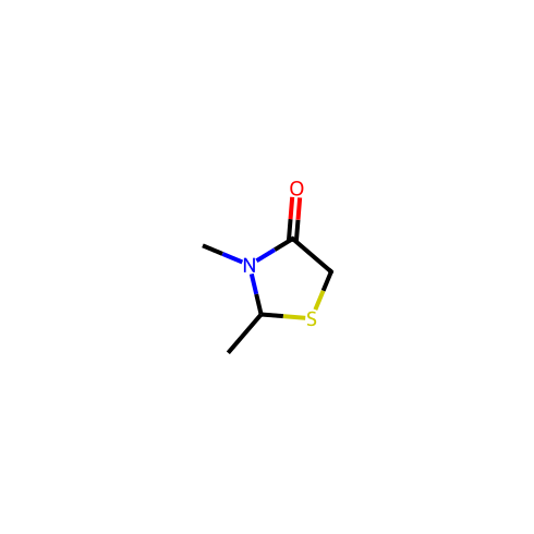 CC1SCC(=O)N1C